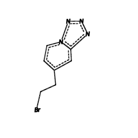 BrCCc1ccn2nnnc2c1